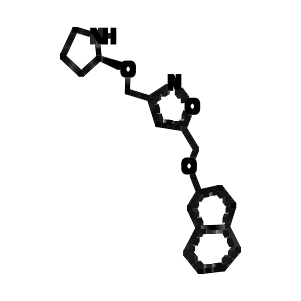 c1ccc2cc(OCc3cc(CO[C@H]4CCCN4)no3)ccc2c1